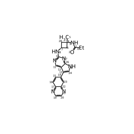 CCC(=O)N[C@]1(C)C[C@@H](Nc2ncc3c(-c4ccc5nccnc5c4)c[nH]c3n2)C1